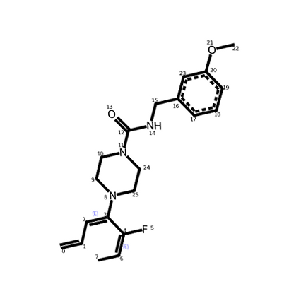 C=C/C=C(\C(F)=C/C)N1CCN(C(=O)NCc2cccc(OC)c2)CC1